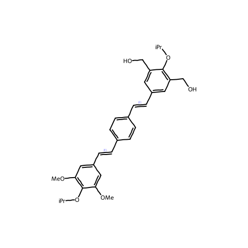 COc1cc(/C=C/c2ccc(/C=C/c3cc(CO)c(OC(C)C)c(CO)c3)cc2)cc(OC)c1OC(C)C